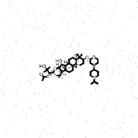 CC(=O)O[C@@H]([C@H]1C[C@@H](C)[C@H]2[C@H](O1)[C@H](O)[C@@]1(C)[C@@H]3CC[C@H]4C(C)(C)[C@@H](O[C@H]5CN(C6CCN(C(C)C)CC6)CCO5)CC[C@@]45C[C@@]35CC[C@]21C)C(C)(C)O